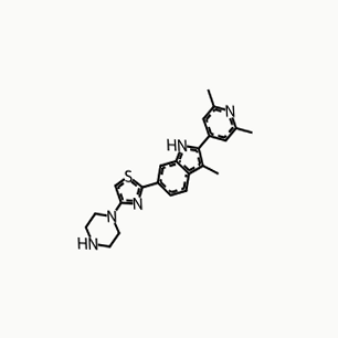 Cc1cc(-c2[nH]c3cc(-c4nc(N5CCNCC5)cs4)ccc3c2C)cc(C)n1